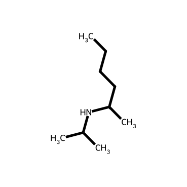 CCCC[C](C)NC(C)C